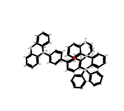 c1ccc([Si]2(c3ccccc3)c3ccccc3[Si]3(c4ccccc4Oc4ccccc43)c3cc(-c4ccc(N5c6ccccc6Sc6ccccc65)cc4)ccc32)cc1